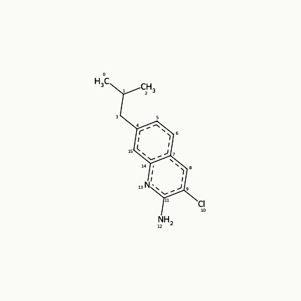 CC(C)Cc1ccc2cc(Cl)c(N)nc2c1